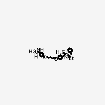 CCN(Cc1ccccc1)c1nc(-c2ccc(OCCCCCOc3ccc(C(=N)NO)cc3)cc2)c(C)s1